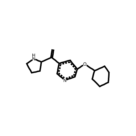 C=C(c1cncc(OC2CCCCC2)c1)C1CCCN1